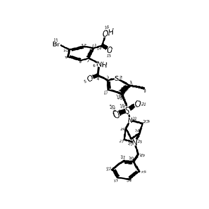 Cc1sc(C(=O)Nc2ccc(Br)cc2C(=O)O)cc1S(=O)(=O)N1CC2CC1CN2Cc1ccccc1